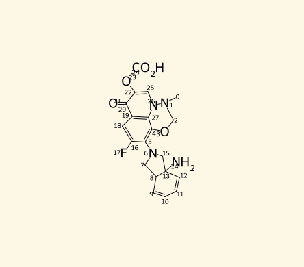 CN1COc2c(N3CC4C=CC=CC4(N)C3)c(F)cc3c(=O)c(OC(=O)O)cn1c23